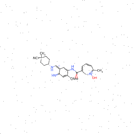 COC1=CC(=N)/C(=C\N[C@H]2CC[C@](C)(C#N)CC2)C=C1NC(=O)C1=CC=CC(C)=[N+](O)C1